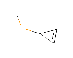 CPC1C=C1